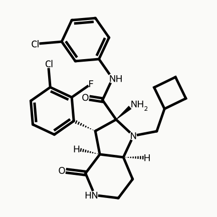 N[C@]1(C(=O)Nc2cccc(Cl)c2)[C@@H](c2cccc(Cl)c2F)[C@@H]2C(=O)NCC[C@@H]2N1CC1CCC1